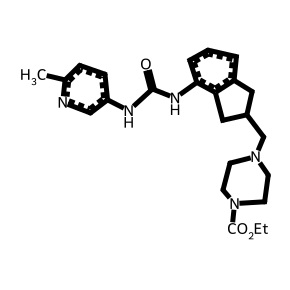 CCOC(=O)N1CCN(CC2Cc3cccc(NC(=O)Nc4ccc(C)nc4)c3C2)CC1